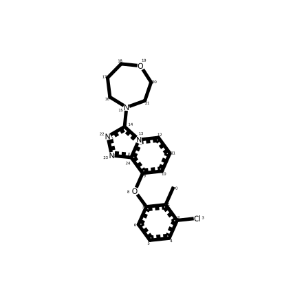 Cc1c(Cl)cccc1Oc1cccn2c(N3CCCOCC3)nnc12